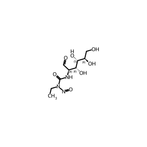 CCN(N=O)C(=O)N[C@@H](C=O)[C@@H](O)[C@H](O)[C@H](O)CO